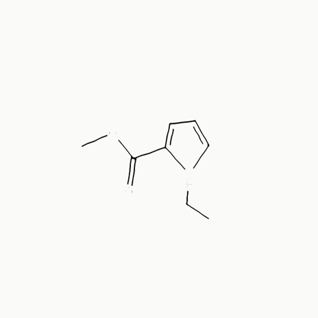 CC[SH]1C=CC=C1C(=O)OC